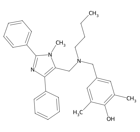 CCCCN(Cc1cc(C)c(O)c(C)c1)Cc1c(-c2ccccc2)nc(-c2ccccc2)n1C